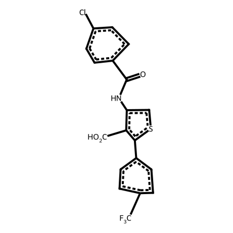 O=C(Nc1csc(-c2ccc(C(F)(F)F)cc2)c1C(=O)O)c1ccc(Cl)cc1